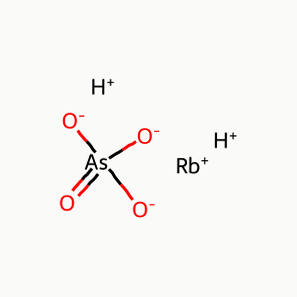 O=[As]([O-])([O-])[O-].[H+].[H+].[Rb+]